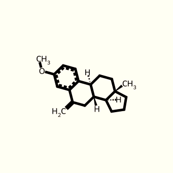 C=C1C[C@@H]2[C@H](CC[C@]3(C)CCC[C@@H]23)c2ccc(OC)cc21